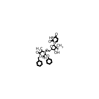 CC(C(=O)OCc1ccccc1)N(OC[C@H]1O[C@@H](n2ccc(=O)[nH]c2=O)[C@](C)(F)[C@@H]1O)[PH](=O)Oc1ccccc1